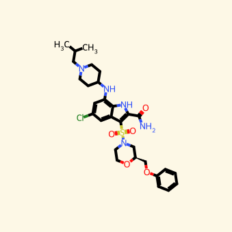 CC(C)CN1CCC(Nc2cc(Cl)cc3c(S(=O)(=O)N4CCO[C@H](COc5ccccc5)C4)c(C(N)=O)[nH]c23)CC1